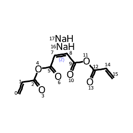 C=CC(=O)OC(=O)/C=C\C(=O)OC(=O)C=C.[NaH].[NaH]